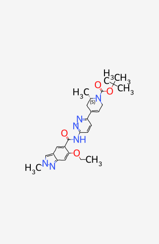 CCOc1cc2nn(C)cc2cc1C(=O)Nc1ccc(C2=CCN(C(=O)OC(C)(C)C)[C@@H](C)C2)nn1